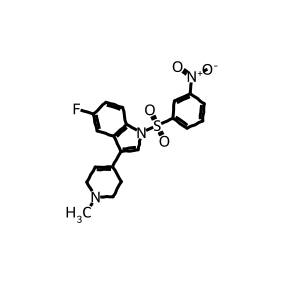 CN1CC=C(c2cn(S(=O)(=O)c3cccc([N+](=O)[O-])c3)c3ccc(F)cc23)CC1